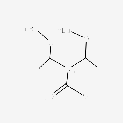 CCCCOC(C)N(C(=O)[S])C(C)OCCCC